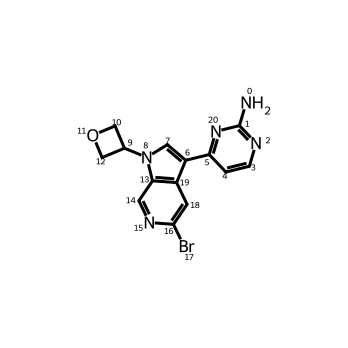 Nc1nccc(-c2cn(C3COC3)c3cnc(Br)cc23)n1